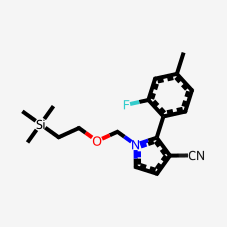 Cc1ccc(-c2c(C#N)ccn2COCC[Si](C)(C)C)c(F)c1